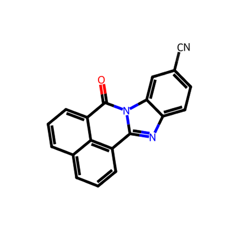 N#Cc1ccc2nc3c4cccc5cccc(c(=O)n3c2c1)c54